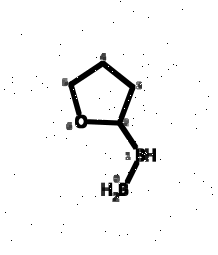 BBC1CCCO1